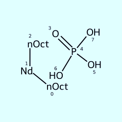 CCCCCCC[CH2][Nd][CH2]CCCCCCC.O=P(O)(O)O